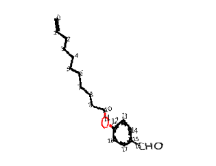 C=CCCCCCCCCCOc1ccc(C=O)cc1